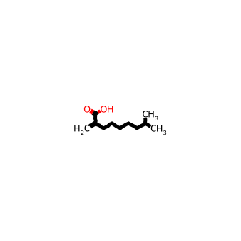 C=C(CCCCCC(C)C)C(=O)O